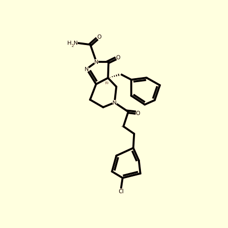 NC(=O)N1N=C2CCN(C(=O)[CH]Cc3ccc(Cl)cc3)C[C@]2(Cc2ccccc2)C1=O